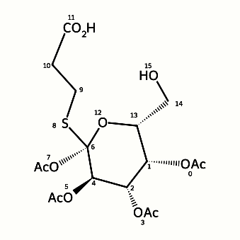 CC(=O)O[C@@H]1[C@H](OC(C)=O)[C@@H](OC(C)=O)[C@@](OC(C)=O)(SCCC(=O)O)O[C@@H]1CO